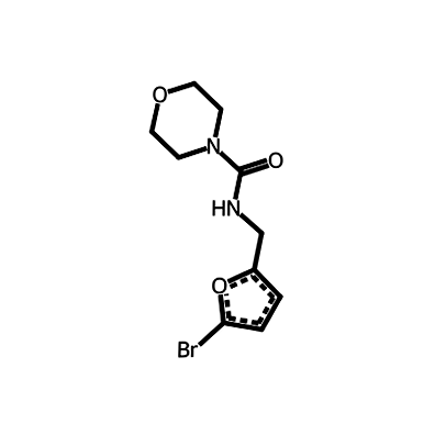 O=C(NCc1ccc(Br)o1)N1CCOCC1